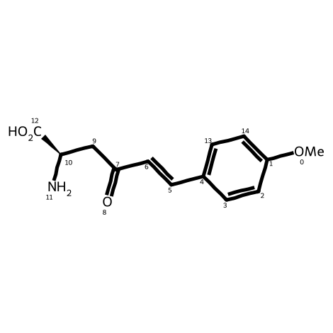 COc1ccc(C=CC(=O)C[C@@H](N)C(=O)O)cc1